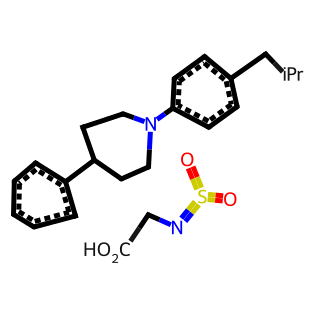 CC(C)Cc1ccc(N2CCC(c3ccccc3)CC2)cc1.O=C(O)CN=S(=O)=O